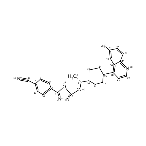 C[C@@H](Nc1nnc(-c2ccc(C#N)cc2)o1)C1CCC(c2ccnc3ccc(F)cc23)CC1